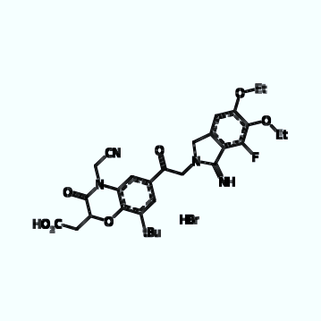 Br.CCOc1cc2c(c(F)c1OCC)C(=N)N(CC(=O)c1cc3c(c(C(C)(C)C)c1)OC(CC(=O)O)C(=O)N3CC#N)C2